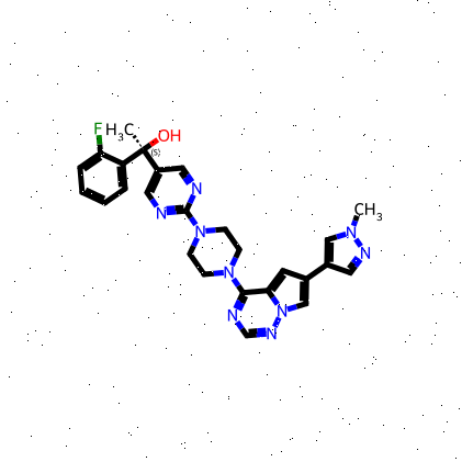 Cn1cc(-c2cc3c(N4CCN(c5ncc([C@](C)(O)c6ccccc6F)cn5)CC4)ncnn3c2)cn1